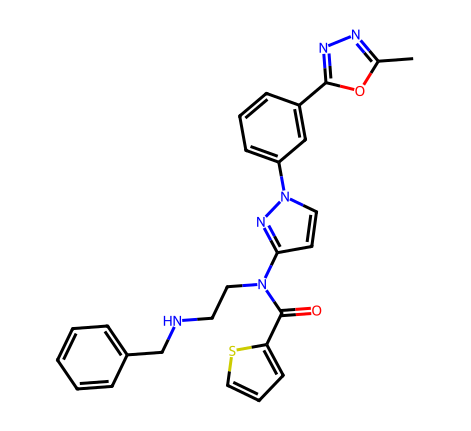 Cc1nnc(-c2cccc(-n3ccc(N(CCNCc4ccccc4)C(=O)c4cccs4)n3)c2)o1